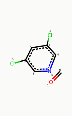 C=O.Clc1cncc(Cl)c1